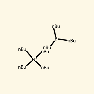 CCCCB(CCCC)CCCC.CCCC[N+](CCCC)(CCCC)CCCC